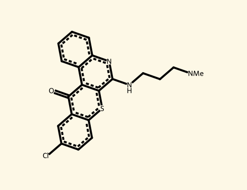 CNCCCNc1nc2ccccc2c2c(=O)c3cc(Cl)ccc3sc12